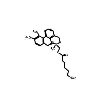 CCCCCCCCCCCCCCCC(=O)OC[N+]1(C)CCc2cccc3c2[C@@H]1Cc1ccc(OC(C)=O)c(OC(C)=O)c1-3